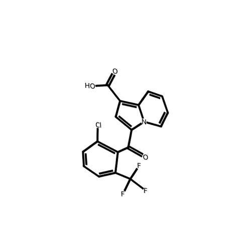 O=C(O)c1cc(C(=O)c2c(Cl)cccc2C(F)(F)F)n2ccccc12